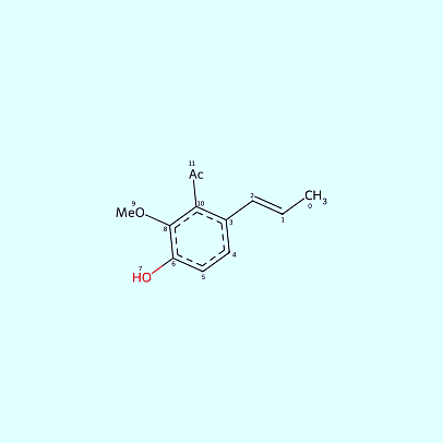 CC=Cc1ccc(O)c(OC)c1C(C)=O